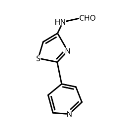 O=CNc1csc(-c2ccncc2)n1